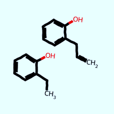 C=CCc1ccccc1O.CCc1ccccc1O